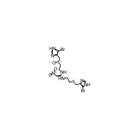 O=[N+]([O-])C=C(NCCSCc1nc[nH]c1Br)NCC[S+]([O-])Cc1nc[nH]c1Br